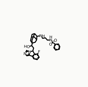 O=S(=O)(NCCCNC1C2CC3CC1CC(C(O)CC1c4c(F)cccc4-c4cncn41)(C3)C2)c1ccccc1